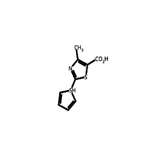 Cc1nc([SH]2C=CC=C2)sc1C(=O)O